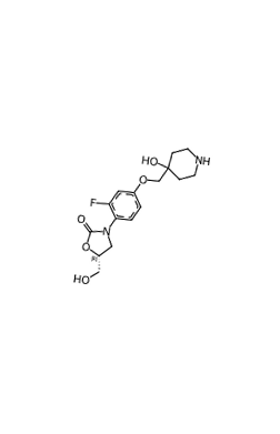 O=C1O[C@@H](CO)CN1c1ccc(OCC2(O)CCNCC2)cc1F